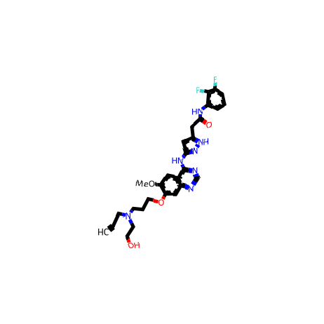 C#CCN(CCO)CCCOc1cc2ncnc(Nc3cc(CC(=O)Nc4cccc(F)c4F)[nH]n3)c2cc1OC